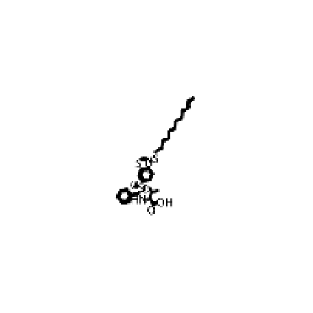 CCCCCCCCCCCCSN1CSc2cc(S(=O)(=O)C(N[C@@H](C(=O)O)C(C)C)c3ccccc3)ccc21